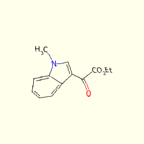 CCOC(=O)C(=O)c1cn(C)c2ccccc12